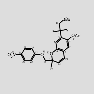 CC(=O)Oc1cc2c(cc1C(C)(C)CC(C)(C)C)OC(C)(COc1ccc([N+](=O)[O-])cc1)C=C2